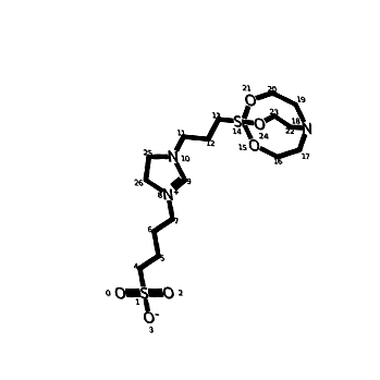 O=S(=O)([O-])CCCC[N+]1=CN(CCC[Si]23OCCN(CCO2)CCO3)CC1